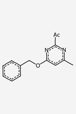 CC(=O)c1nc(C)cc(OCc2ccccc2)n1